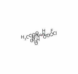 Cc1ccc2c(c1)N(C(=O)C1CCOC1)CC(C(=O)NC13CC(NC(=O)COc4ccc(Cl)c(F)c4)(C1)C3)O2